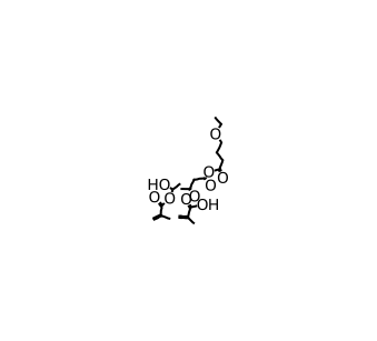 C=C(C)C(=O)O.C=C(C)C(=O)OC(C)O.CCOCCCC(=O)OC(=O)CC(C)=O